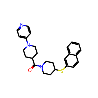 O=C(C1CCN(c2ccncc2)CC1)N1CCC(Sc2ccc3ccccc3c2)CC1